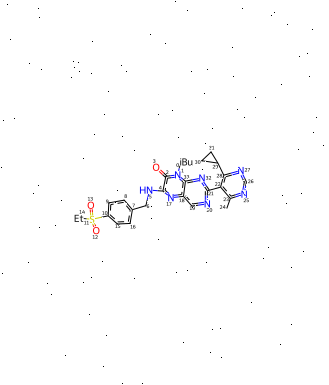 CCC(C)n1c(=O)c(NCc2ccc(S(=O)(=O)CC)cc2)nc2cnc(-c3c(C)ncnc3C3CC3)nc21